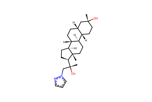 C[C@@]1(O)CC[C@H]2[C@H](CC[C@@H]3[C@@H]2CC[C@@]2(C)[C@H]3CC[C@@H]2[C@](C)(O)Cn2c[c]cn2)C1